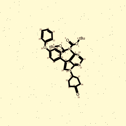 CC(C)(C)OC(=O)N(C(=O)OC(C)(C)C)c1ncnc2c1c(-c1ccc(Oc3ccccc3)cc1)cn2C1CCC(=O)CC1